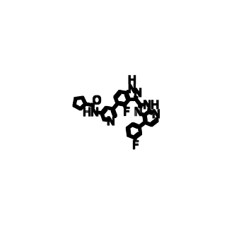 O=C(Nc1cncc(-c2ccc3[nH]nc(-c4nc5c(-c6cccc(F)c6)ccnc5[nH]4)c3c2F)c1)C1CCCC1